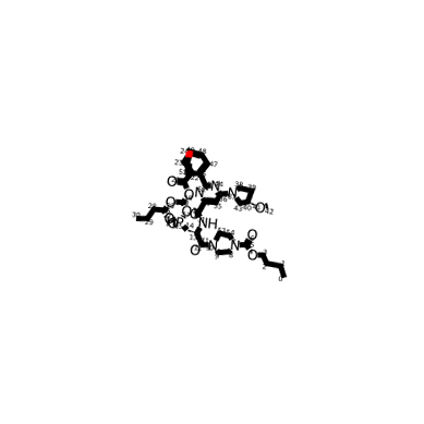 CCCCOC(=O)N1CCN(C(=O)[C@H](C[PH](=O)OC(OC(=O)CCC)OC(=O)CCC)NC(=O)c2cc(N3CC[C@H](OC)C3)nc(-c3ccccc3)n2)CC1